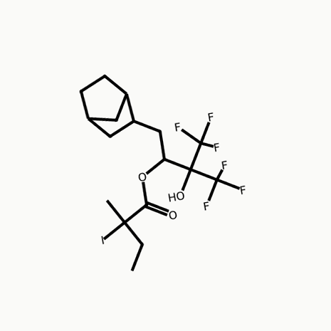 CCC(C)(I)C(=O)OC(CC1CC2CCC1C2)C(O)(C(F)(F)F)C(F)(F)F